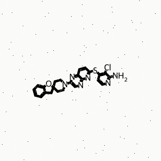 Nc1nccc(Sc2ccc3nc(N4CCC5(CC4)Cc4ccccc4O5)cnc3n2)c1Cl